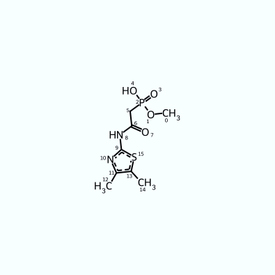 COP(=O)(O)CC(=O)Nc1nc(C)c(C)s1